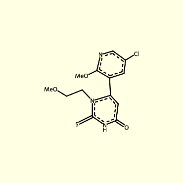 COCCn1c(-c2cc(Cl)cnc2OC)cc(=O)[nH]c1=S